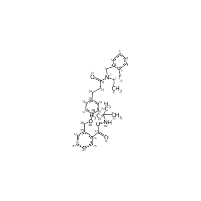 CCN(Cc1ccccc1F)C(=O)CCc1ccc(OCc2ccccc2C(=O)ONC(C)(C)C)cc1